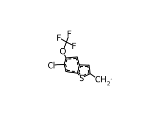 [CH2]c1cc2cc(OC(F)(F)F)c(Cl)cc2s1